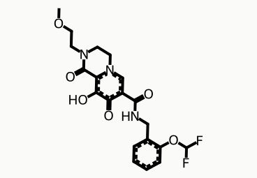 COCCN1CCn2cc(C(=O)NCc3ccccc3OC(F)F)c(=O)c(O)c2C1=O